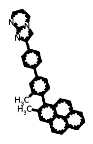 Cc1cc(-c2ccc(-c3cn4cccnc4n3)cc2)ccc1-c1c(C)cc2ccc3cccc4ccc1c2c34